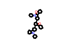 c1ccc(-n2c3ccccc3c3cc(-c4ccc(-c5ccc6c7c8ccccc8oc7n(-c7ccccc7)c6c5)c5oc6ccccc6c45)ccc32)cc1